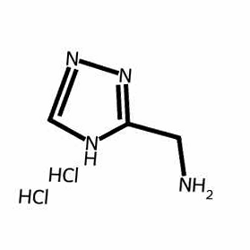 Cl.Cl.NCc1nnc[nH]1